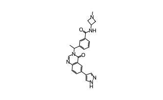 CC(c1cccc(C(=O)NC2CN(C)C2)c1)n1cnc2ccc(-c3cn[nH]c3)cc2c1=O